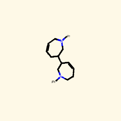 CC(C)N1CCC=CC(C2CC=CCN(C(C)C)C2)C1